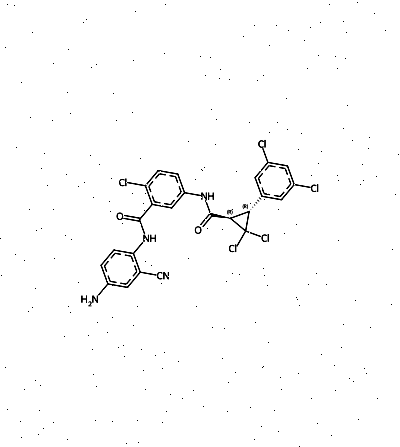 N#Cc1cc(N)ccc1NC(=O)c1cc(NC(=O)[C@H]2[C@H](c3cc(Cl)cc(Cl)c3)C2(Cl)Cl)ccc1Cl